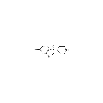 Cc1ccc(S(=O)(=O)C2CCNCC2)c(Br)c1